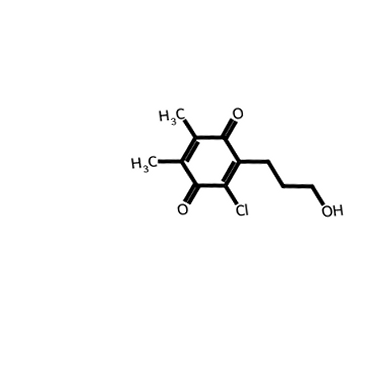 CC1=C(C)C(=O)C(CCCO)=C(Cl)C1=O